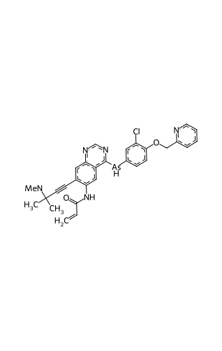 C=CC(=O)Nc1cc2c([AsH]c3ccc(OCc4ccccn4)c(Cl)c3)ncnc2cc1C#CC(C)(C)NC